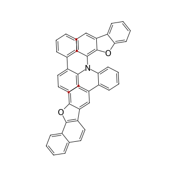 c1ccc(-c2ccccc2N(c2ccccc2-c2ccc3oc4c5ccccc5ccc4c3c2)c2cccc3c2oc2ccccc23)cc1